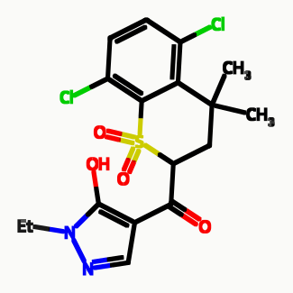 CCn1ncc(C(=O)C2CC(C)(C)c3c(Cl)ccc(Cl)c3S2(=O)=O)c1O